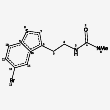 CNC(=O)NCCc1csc2ccc(Br)cc12